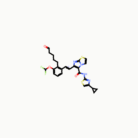 O=CCCCCc1c(/C=C/c2nc3sccn3c2C(=O)Nc2nc(C3CC3)cs2)cccc1OC(F)F